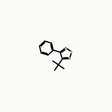 CC(C)(C)c1nsnc1-c1ccccc1